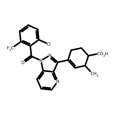 CC1C=C(c2nn(C(=O)c3c(Cl)cccc3C(F)(F)F)c3cccnc23)CCC1C(=O)O